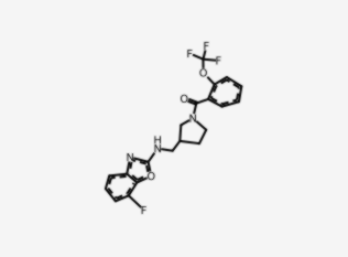 O=C(c1ccccc1OC(F)(F)F)N1CCC(CNc2nc3cccc(F)c3o2)C1